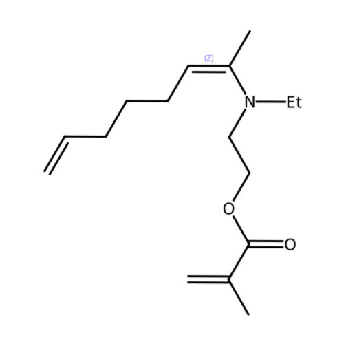 C=CCCC/C=C(/C)N(CC)CCOC(=O)C(=C)C